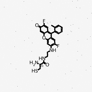 Cc1ccccc1-c1c2cc(F)c(=O)cc-2oc2cc(NCCNC(=O)[C@H](N)CS)c(F)cc12